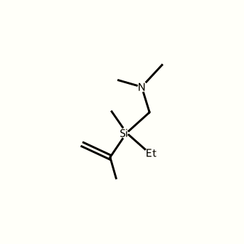 C=C(C)[Si](C)(CC)CN(C)C